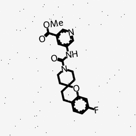 COC(=O)c1cncc(NC(=O)N2CCC3(CCc4ccc(F)cc4O3)CC2)c1